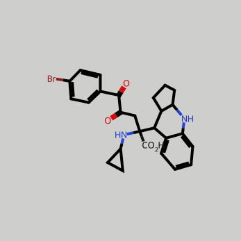 O=C(CC(NC1CC1)(C(=O)O)C1c2ccccc2NC2CCCC21)C(=O)c1ccc(Br)cc1